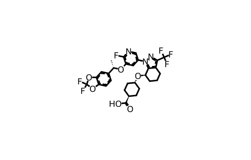 C[C@H](Oc1cc(-n2nc(C(F)(F)F)c3c2[C@H](O[C@H]2CC[C@H](C(=O)O)CC2)CCC3)cnc1F)c1ccc2c(c1)OC(F)(F)O2